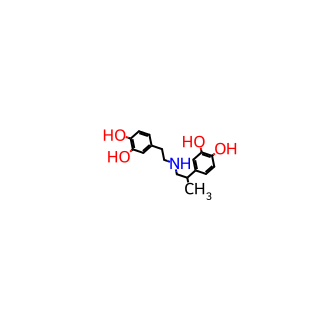 CC(CNCCc1ccc(O)c(O)c1)c1ccc(O)c(O)c1